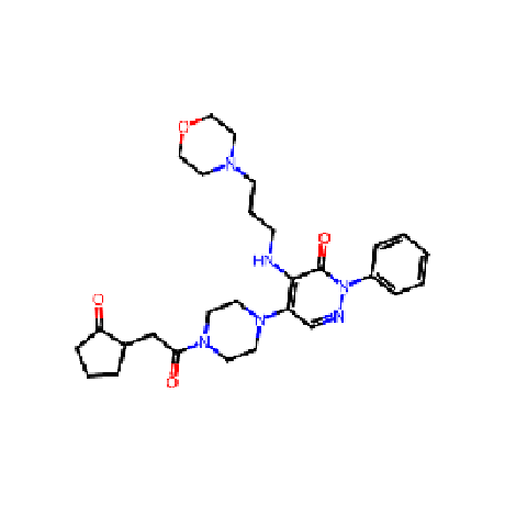 O=C1CCCC1CC(=O)N1CCN(c2cnn(-c3ccccc3)c(=O)c2NCCCN2CCOCC2)CC1